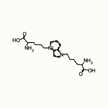 NC(CCCCn1ccc2c1ccc[n+]2CCCCC(N)C(=O)O)C(=O)O